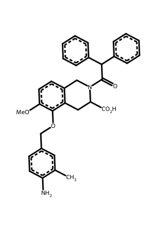 COc1ccc2c(c1OCc1ccc(N)c(C)c1)CC(C(=O)O)N(C(=O)C(c1ccccc1)c1ccccc1)C2